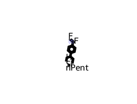 CCCCC[SiH]1CCC(c2ccc(/C(F)=C/F)cc2)CC1